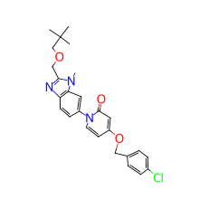 Cn1c(COCC(C)(C)C)nc2ccc(-n3ccc(OCc4ccc(Cl)cc4)cc3=O)cc21